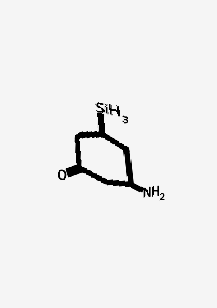 NC1CC(=O)CC([SiH3])C1